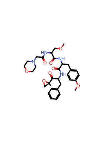 COCC(NC(=O)CN1CCOCC1)C(=O)NC(Cc1ccc(OC)cc1)C(=O)NC(Cc1ccccc1)C(=O)C1(C)CO1